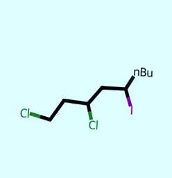 CCCCC(I)CC(Cl)CCCl